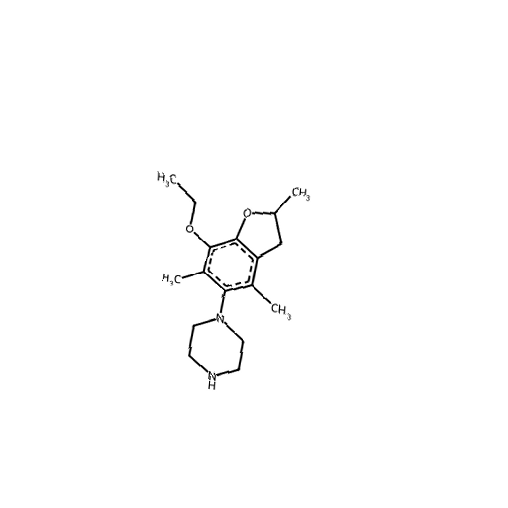 CCOc1c(C)c(N2CCNCC2)c(C)c2c1OC(C)C2